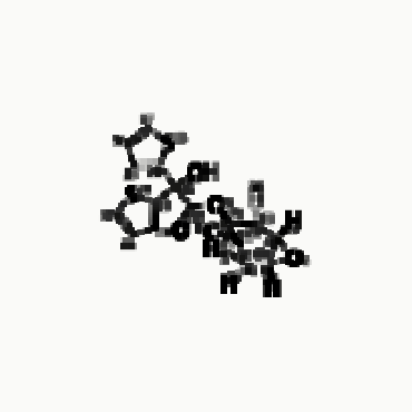 CN1[C@@H]2[C@@H]3O[C@@H]3[C@H]1C[C@H]2OC(=O)C(O)(c1cccs1)c1cccs1